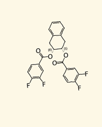 O=C(O[C@H]1Cc2ccccc2C[C@H]1OC(=O)c1ccc(F)c(F)c1)c1ccc(F)c(F)c1